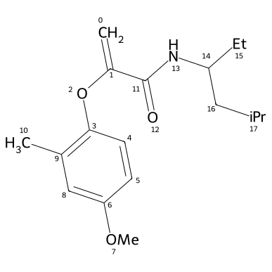 C=C(Oc1ccc(OC)cc1C)C(=O)NC(CC)CC(C)C